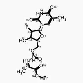 Cc1cn([C@H]2O[C@@H](CO[P@H](=O)N[C@@H](C)C(=O)OC(C)C)C(O)C2F)c(=O)[nH]c1=O